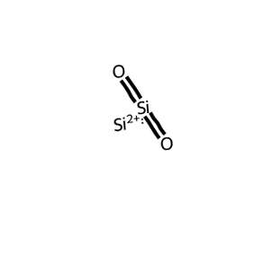 O=[Si]=O.[Si+2]